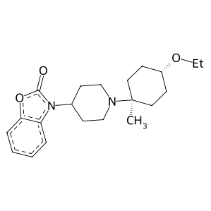 CCO[C@H]1CC[C@](C)(N2CCC(n3c(=O)oc4ccccc43)CC2)CC1